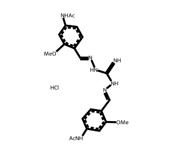 COc1cc(NC(C)=O)ccc1C=NNC(=N)NN=Cc1ccc(NC(C)=O)cc1OC.Cl